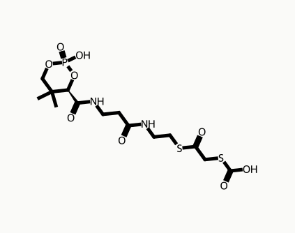 CC1(C)COP(=O)(O)O[C@H]1C(=O)NCCC(=O)NCCSC(=O)CSC(=O)O